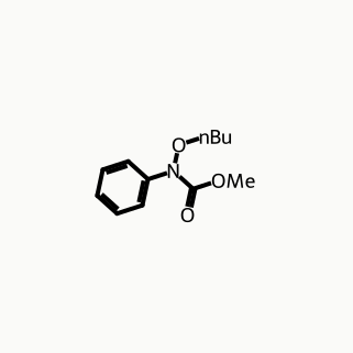 CCCCON(C(=O)OC)c1ccccc1